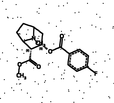 COC(=O)[C@@H]1C2CCC(C[C@@H]1OC(=O)c1ccc(F)cc1)N2C